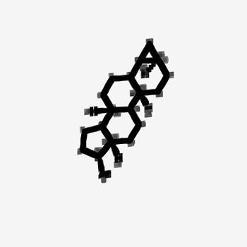 CC(=O)[C@H]1CCC2[C@@H]3CCC4C5C[C@H]5CC[C@@H]4C3CC[C@@H]21